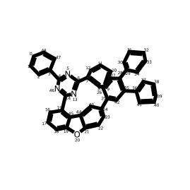 c1ccc(-c2nc(-c3ccccc3)nc(-c3cccc4oc5ccc(-c6ccc(-c7ccccc7)c(-c7ccccc7)c6)cc5c34)n2)cc1